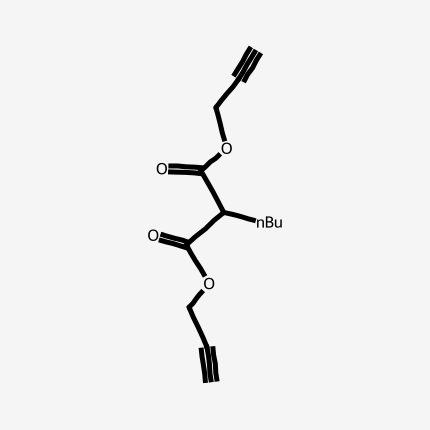 C#CCOC(=O)C(CCCC)C(=O)OCC#C